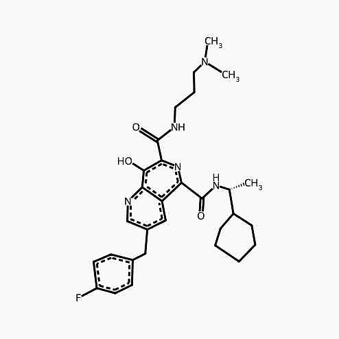 C[C@@H](NC(=O)c1nc(C(=O)NCCCN(C)C)c(O)c2ncc(Cc3ccc(F)cc3)cc12)C1CCCCC1